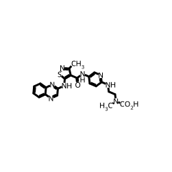 Cc1nsc(Nc2cnc3ccccc3n2)c1C(=O)Nc1ccc(NCCN(C)C(=O)O)nc1